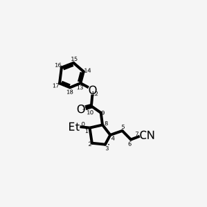 [CH2]CC1C[CH]C(CCC#N)C1CC(=O)Oc1ccccc1